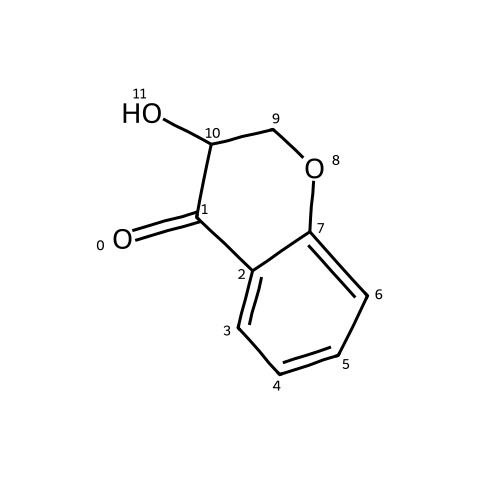 O=C1c2ccccc2OCC1O